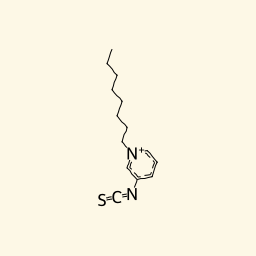 CCCCCCCC[n+]1cccc(N=C=S)c1